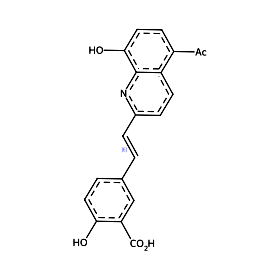 CC(=O)c1ccc(O)c2nc(/C=C/c3ccc(O)c(C(=O)O)c3)ccc12